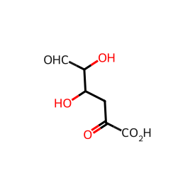 O=CC(O)C(O)CC(=O)C(=O)O